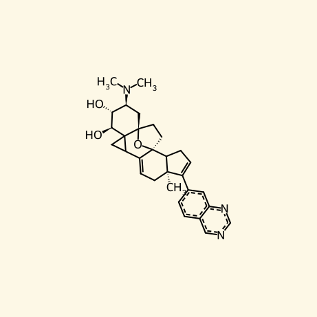 CN(C)[C@H]1C[C@@]23CC[C@@]4(O2)C(=CC[C@]2(C)C(c5ccc6cncnc6c5)=CCC24)C2CC23[C@@H](O)[C@@H]1O